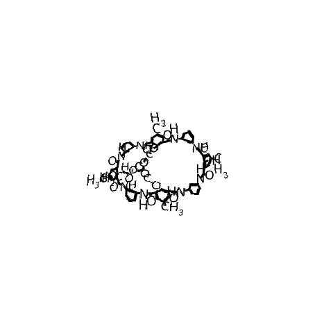 C=CC(=O)OCC1(C)OCCOc2c3cc(C)cc2C(=O)Nc2cccc(c2)NC(=O)c2cc(C)cc(c2O)C(=O)Nc2cccc(c2)NC(=O)c2cc(C)cc(c2OCCO1)C(=O)Nc1cccc(c1)NC(=O)c1cc(C)cc(c1O)C(=O)Nc1cccc(c1)NC3=O